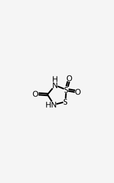 O=C1NSS(=O)(=O)N1